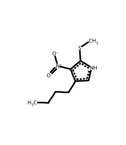 CCCCc1c[nH]c(SC)c1[N+](=O)[O-]